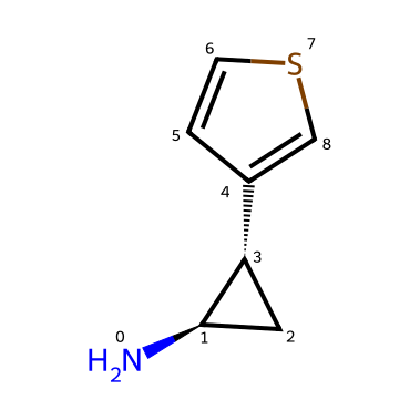 N[C@@H]1C[C@H]1c1ccsc1